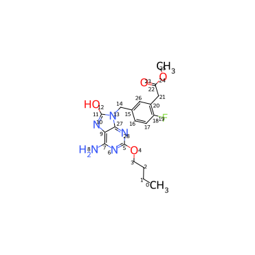 CCCCOc1nc(N)c2nc(O)n(Cc3ccc(F)c(CC(=O)OC)c3)c2n1